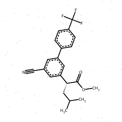 COC(=O)[C@H](CC(C)C)c1cc(C#N)cc(-c2ccc(C(F)(F)F)cc2)c1